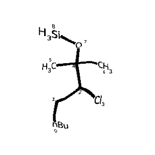 CCCCCC(Cl)C(C)(C)O[SiH3]